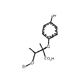 CCOC(C)C(C)(Oc1ccc(O)cc1)C(=O)O